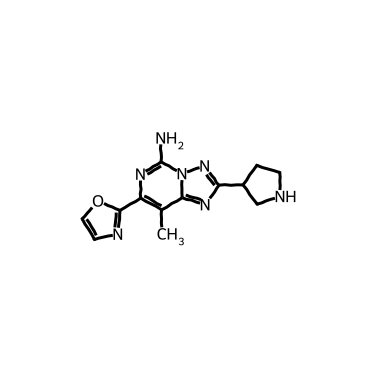 Cc1c(-c2ncco2)nc(N)n2nc(C3CCNC3)nc12